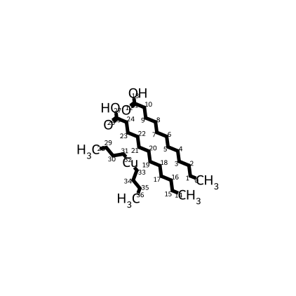 CCCCCCCCCCCC(=O)O.CCCCCCCCCCCC(=O)O.CCC[CH2][Cu][CH2]CCC